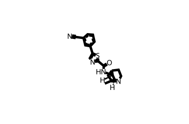 C[C@H]1[C@H](NC(=O)c2ncc(-c3cccc(C#N)c3)s2)C2CCN1CC2